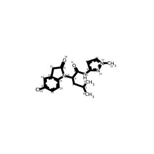 CC(C)CC(C(=O)Nc1ccn(C)n1)N1C(=O)Cc2cc(Cl)ccc21